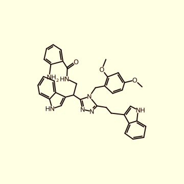 COc1ccc(Cn2c(CCc3c[nH]c4ccccc34)nnc2C(CNC(=O)c2ccccc2N)c2c[nH]c3ccccc23)c(OC)c1